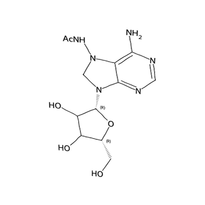 CC(=O)NN1CN([C@@H]2O[C@H](CO)C(O)C2O)c2ncnc(N)c21